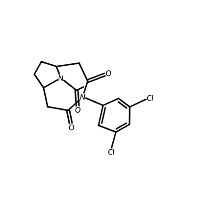 CC(=O)N1C2CCC1CC(=O)N(c1cc(Cl)cc(Cl)c1)C(=O)C2